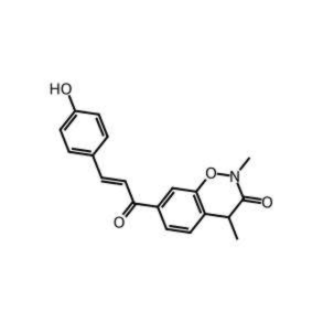 CC1C(=O)N(C)Oc2cc(C(=O)C=Cc3ccc(O)cc3)ccc21